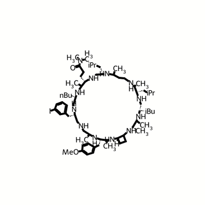 CCCC[C@H]1CN[C@@H](Cc2cccc(I)c2)CNCC(C)N[C@@H](Cc2ccc(OC)cc2)C(C)N[C@H]2CCC2N[C@@H](C)C(C)N[C@@H]([C@@H](C)CC)CN[C@@H](CC(C)C)C(C)NCCC(C)N[C@@H](CC(C)C)CN[C@@H](CCC(=O)N(C)C)C(C)N1